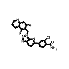 NC(=O)c1ccc(-c2ccc3nnn(Cc4c(F)cc5ncccc5c4F)c3n2)cc1Cl